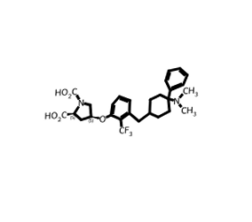 CN(C)C1(c2ccccc2)CCC(Cc2cccc(O[C@H]3C[C@@H](C(=O)O)N(C(=O)O)C3)c2C(F)(F)F)CC1